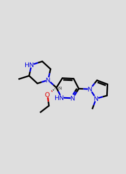 CCO[C@]1(N2CCNC(C)C2)C=CC(N2C=CCN2C)=NN1